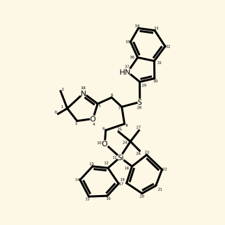 CC1(C)COC(CC(CCO[Si](c2ccccc2)(c2ccccc2)C(C)(C)C)Sc2cc3ccccc3[nH]2)=N1